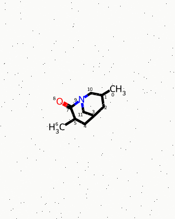 CC1CC2CC(C)C(=O)N(C1)C2